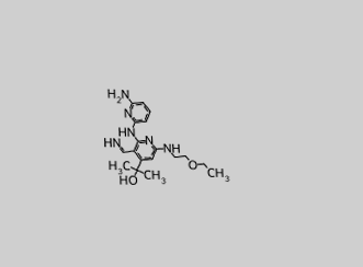 CCOCCNc1cc(C(C)(C)O)c(C=N)c(Nc2cccc(N)n2)n1